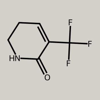 O=C1NCCC=C1C(F)(F)F